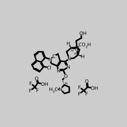 CN1CCC[C@H]1COc1nc2c(c(N3C[C@H]4CC(CCO)[C@@H](C3)N4C(=O)O)n1)CCN(c1cccc3cccc(Cl)c13)C2.O=C(O)C(F)(F)F.O=C(O)C(F)(F)F